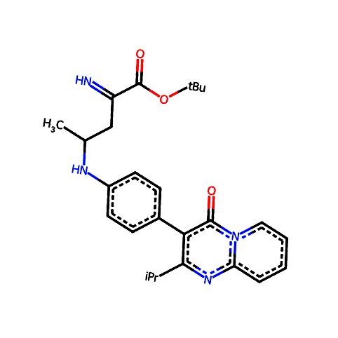 CC(CC(=N)C(=O)OC(C)(C)C)Nc1ccc(-c2c(C(C)C)nc3ccccn3c2=O)cc1